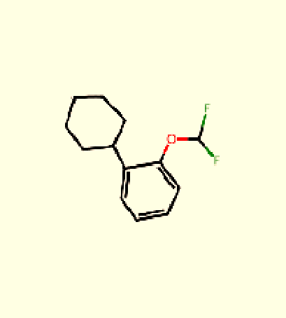 FC(F)Oc1ccccc1C1CC[CH]CC1